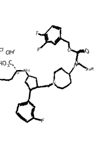 CCCN(C(=O)OCc1ccc(F)c(F)c1)C1CCN(CC2CC(N[C@H](CC(C)C)C(=O)O)CC2c2cccc(F)c2)CC1.Cl.Cl